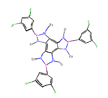 CCn1c2c3c(c4c(c2n(CC)p1-c1cc(F)cc(F)c1)n(CC)p(-c1cc(F)cc(F)c1)n4CC)n(CC)p(-c1cc(F)cc(F)c1)n3CC